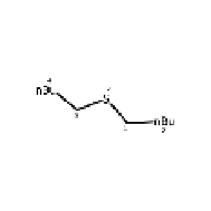 CCCC[CH]SCCCCC